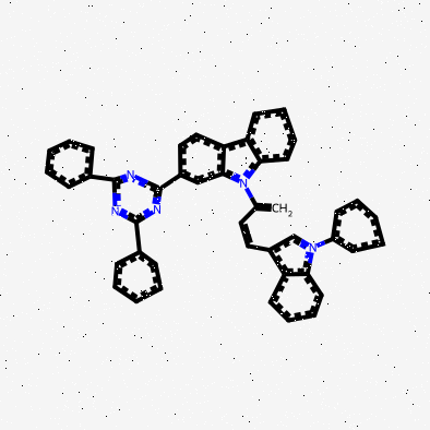 C=C(/C=C\c1cn(-c2ccccc2)c2ccccc12)n1c2ccccc2c2ccc(-c3nc(-c4ccccc4)nc(-c4ccccc4)n3)cc21